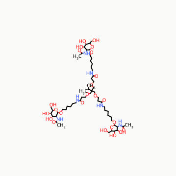 CC(=O)NC1C(O)[C@@H](O)C(CO)O[C@H]1OCCCCCCNC(=O)CCOCC(COCCC(=O)NCCCCCCO[C@@H]1OC(CO)[C@H](O)C(O)C1NC(C)=O)(COCCC(=O)NCCCCCCO[C@@H]1OC(CO)[C@H](O)C(O)C1NC(C)=O)C(C)C